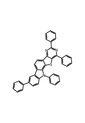 c1ccc(-c2ccc3c(c2)c2ccc4c5nc(-c6ccccc6)nc(-c6ccccc6)c5sc4c2n3-c2ccccc2)cc1